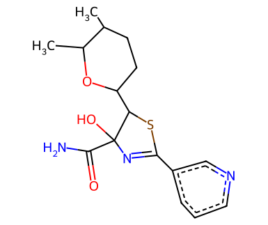 CC1CCC(C2SC(c3cccnc3)=NC2(O)C(N)=O)OC1C